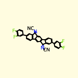 N#C/N=c1\c2cc(-c3ccc(F)c(F)c3)ccc2c2cc3/c(=N/C#N)c4cc(-c5ccc(F)c(F)c5)ccc4c3cc12